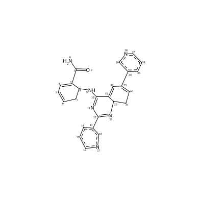 NC(=O)C1=CC=CCC1NC1=NC(c2cccnc2)=NC2CC=C(c3cccnc3)C=C12